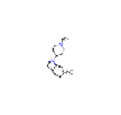 CCCN1CCC(n2ccc3ccc(N=O)cc32)CC1